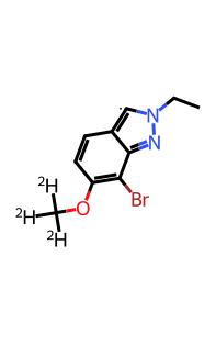 [2H]C([2H])([2H])Oc1ccc2[c]n(CC)nc2c1Br